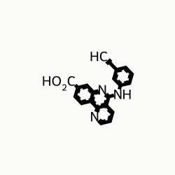 C#Cc1cccc(Nc2nc3cc(C(=O)O)ccc3c3ncccc23)c1